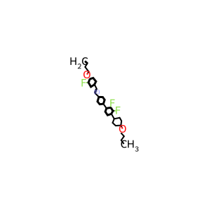 C=CCCOc1ccc(/C=C/c2ccc(-c3ccc(C4CCC(OCCCC)CC4)c(F)c3F)cc2)cc1F